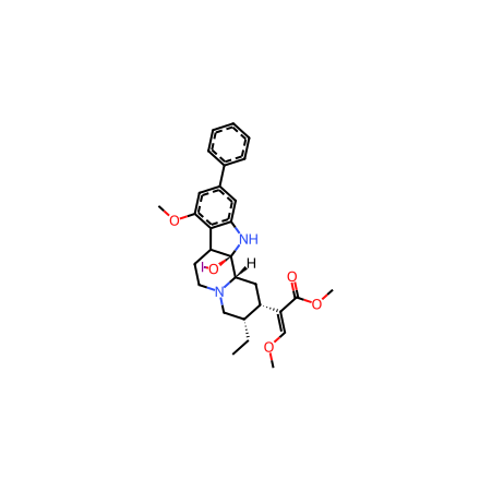 CC[C@@H]1CN2CCC3c4c(cc(-c5ccccc5)cc4OC)N[C@]3(OI)[C@@H]2C[C@@H]1/C(=C\OC)C(=O)OC